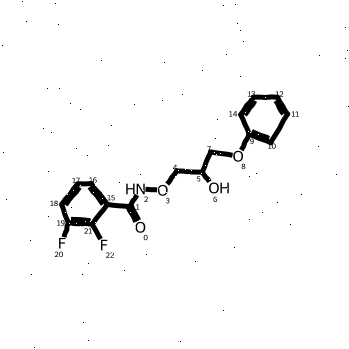 O=C(NOCC(O)COc1ccccc1)c1cccc(F)c1F